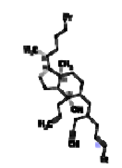 C#CCC(C/C=C/CC)CC1CC[C@@]2(C)C(CC[C@@H]2[C@H](C)CCCC(C)C)[C@]1(O)CC=C